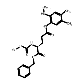 CCCCCNc1cc(C)c(C)cc1NC(=O)CC[C@H](NC(=O)OC(C)(C)C)C(=O)OCc1ccccc1